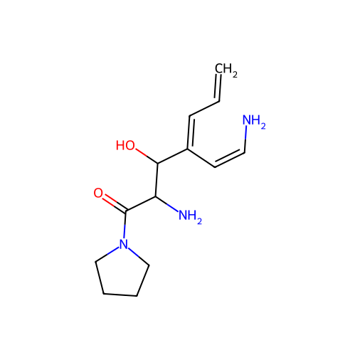 C=C/C=C(\C=C/N)C(O)C(N)C(=O)N1CCCC1